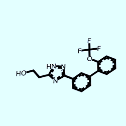 OCCc1nc(-c2cccc(-c3ccccc3OC(F)(F)F)c2)n[nH]1